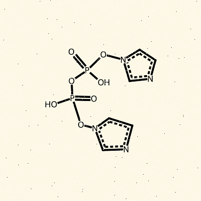 O=P(O)(On1ccnc1)OP(=O)(O)On1ccnc1